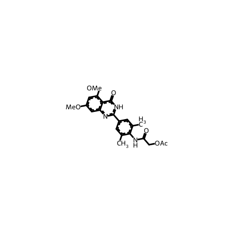 COc1cc(OC)c2c(=O)[nH]c(-c3cc(C)c(NC(=O)COC(C)=O)c(C)c3)nc2c1